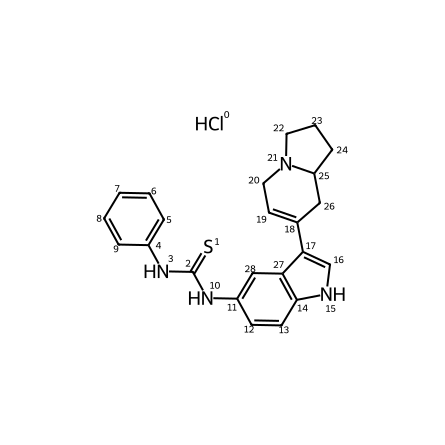 Cl.S=C(Nc1ccccc1)Nc1ccc2[nH]cc(C3=CCN4CCCC4C3)c2c1